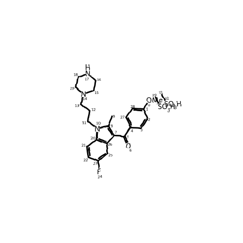 COc1ccc(C(=O)c2c(C)n(CCCN3CCNCC3)c3ccc(F)cc23)cc1.CS(=O)(=O)O.CS(=O)(=O)O